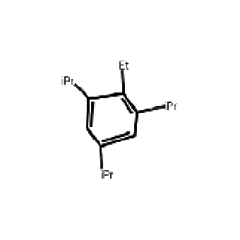 CCc1c(C(C)C)cc(C(C)C)cc1C(C)C